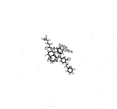 COc1ccc(-c2c(NC(=O)/C=C/CN(C)C)ccc3ncnc(Nc4ccc(OCc5ccccn5)c(Cl)c4)c23)cc1OC